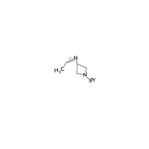 C/C=N\C1CN(C(C)C)C1